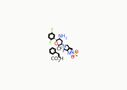 CS(=O)(=O)n1cc2c(n1)CN([C@@H]1C[C@H](N)[C@@H](c3cc(F)ccc3F)O[C@@H]1C(F)(F)F)C2.O=C(O)/C=C/c1ccccc1